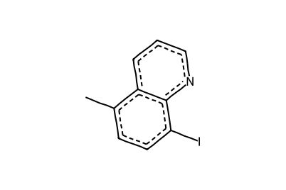 Cc1ccc(I)c2ncccc12